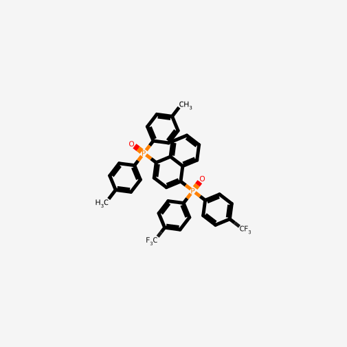 Cc1ccc(P(=O)(c2ccc(C)cc2)c2ccc(P(=O)(c3ccc(C(F)(F)F)cc3)c3ccc(C(F)(F)F)cc3)c3ccccc23)cc1